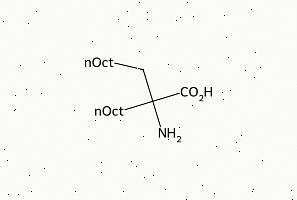 CCCCCCCCCC(N)(CCCCCCCC)C(=O)O